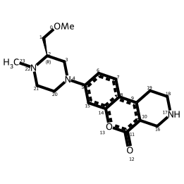 COC[C@H]1CN(c2ccc3c4c(c(=O)oc3c2)CNCC4)CCN1C